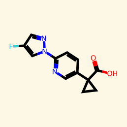 O=C(O)C1(c2ccc(-n3cc(F)cn3)nc2)CC1